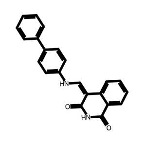 O=C1NC(=O)c2ccccc2/C1=C/Nc1ccc(-c2ccccc2)cc1